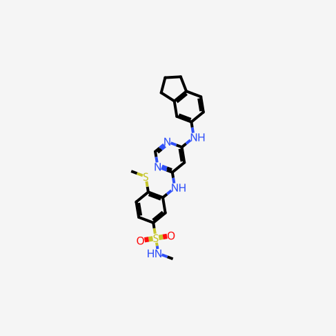 CNS(=O)(=O)c1ccc(SC)c(Nc2cc(Nc3ccc4c(c3)CCC4)ncn2)c1